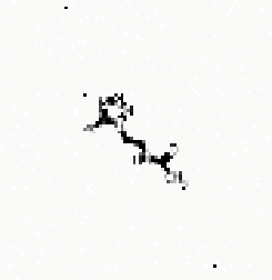 CC(=O)NCCn1nnnc1[S]